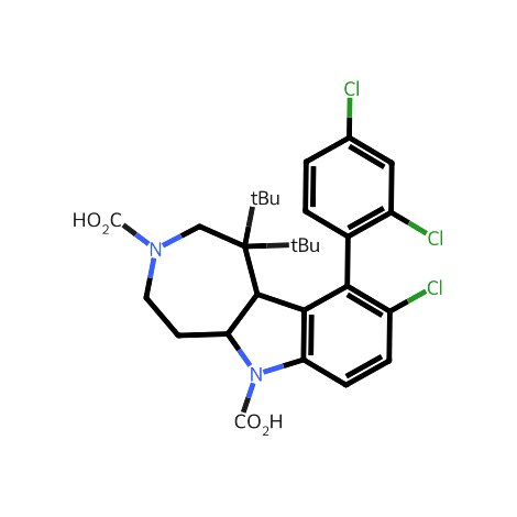 CC(C)(C)C1(C(C)(C)C)CN(C(=O)O)CCC2C1c1c(ccc(Cl)c1-c1ccc(Cl)cc1Cl)N2C(=O)O